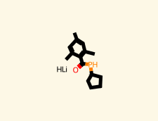 Cc1cc(C)c(C(=O)P[C]2CCCC2)c(C)c1.[LiH]